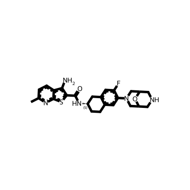 Cc1ccc2c(N)c(C(=O)N[C@H]3CCc4cc(N5CC6CNCC(C5)O6)c(F)cc4C3)sc2n1